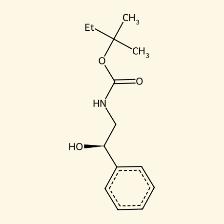 CCC(C)(C)OC(=O)NC[C@H](O)c1ccccc1